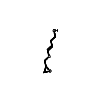 OCCC=COCC1CO1